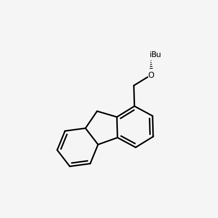 CC[C@@H](C)OCc1cccc2c1CC1C=CC=CC21